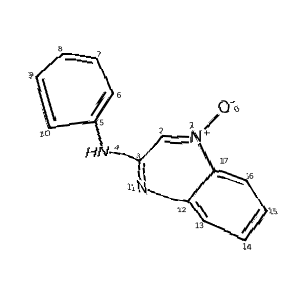 [O-][n+]1cc(Nc2ccccc2)nc2ccccc21